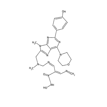 C=N/C=C(\C=N/CN(C)Cc1nc2c(N3CCOCC3)nc(-c3ccc(O)cc3)nc2n1C)C(=O)NO